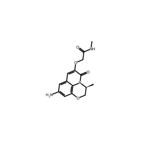 CNC(=O)COc1cc2cc(N)cc3c2n(c1=O)[C@@H](C)CO3